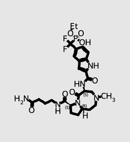 CCOP(=O)(O)C(F)(F)c1ccc2[nH]c(C(=O)N[C@H]3CN(C)CC[C@H]4CC[C@@H](C(=O)NCCCC(N)=O)N4C3=O)cc2c1